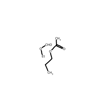 CCCOC(C)=O.CCOC=O